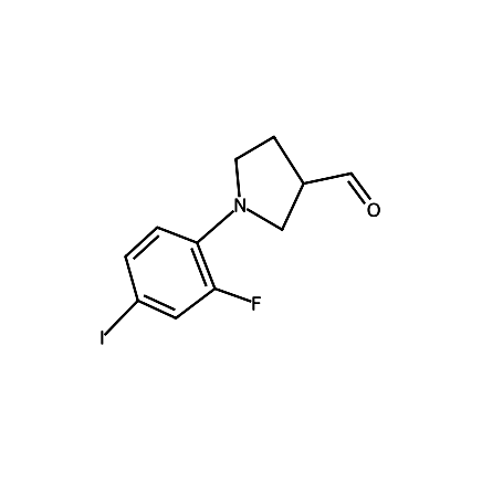 O=CC1CCN(c2ccc(I)cc2F)C1